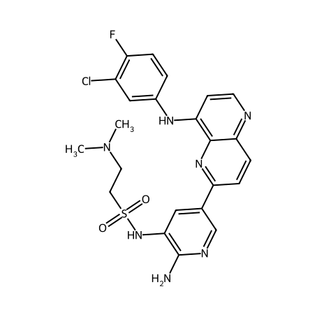 CN(C)CCS(=O)(=O)Nc1cc(-c2ccc3nccc(Nc4ccc(F)c(Cl)c4)c3n2)cnc1N